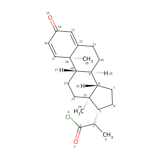 CC(C(=O)Cl)[C@H]1CC[C@H]2[C@@H]3CCC4=CC(=O)C=C[C@]4(C)[C@H]3CC[C@]12C